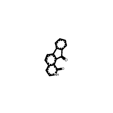 O=C1c2ccccc2-c2ccc3cc[nH]c(=O)c3c21